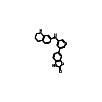 O=c1[nH]c2ccc(-c3cncc(Nc4ccc5c(c4)NCCC5)c3)cc2o1